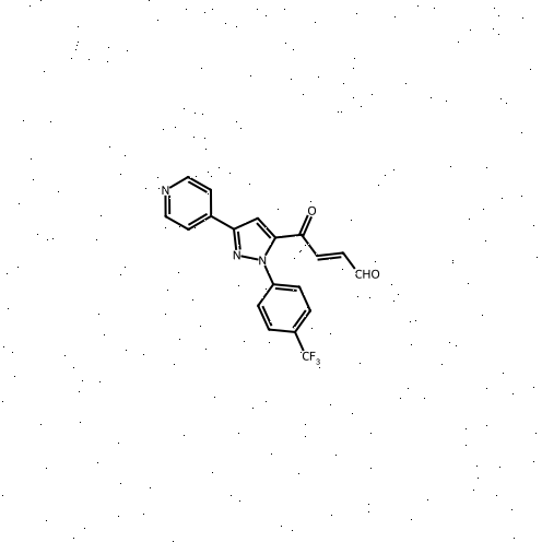 O=C/C=C/C(=O)c1cc(-c2ccncc2)nn1-c1ccc(C(F)(F)F)cc1